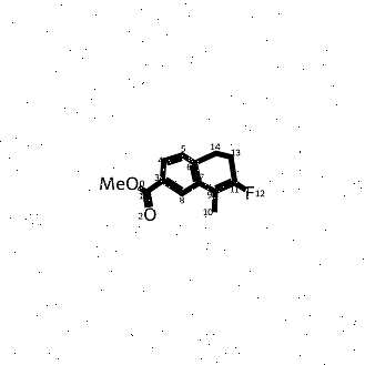 COC(=O)c1ccc2c(c1)C(C)=C(F)CC2